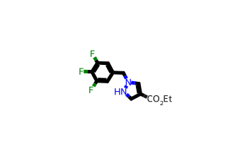 CCOC(=O)C1=CN(Cc2cc(F)c(F)c(F)c2)NC1